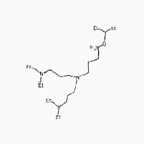 CCC(CC)O[SiH2]CCCN(CCCN(CC)CC)CCCN(CC)CC